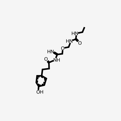 CCNC(=O)NCOCC(=N)NC(=O)CCc1ccc(O)cc1